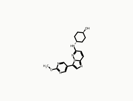 COc1ncc(-c2cnc3ccc(N[C@H]4CC[C@H](O)CC4)nn23)cn1